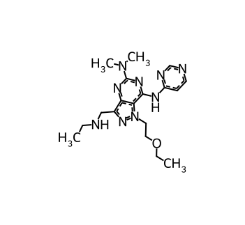 CCNCc1nn(CCOCC)c2c(Nc3ccncn3)nc(N(C)C)nc12